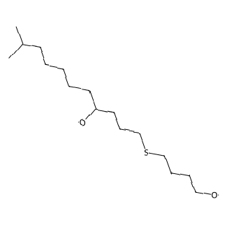 CC(C)CCCCCC([O])CCCSCCCC[O]